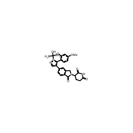 BC(B)(O)n1ncc(-c2ccc3c(c2)CN(C2CCC(=O)NC2=O)C3=O)c1-c1ccc(OC)cc1Cl